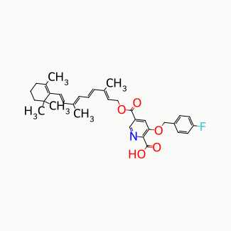 CC(C=CC1=C(C)CCCC1(C)C)=CC=CC(C)=CCOC(=O)c1cnc(C(=O)O)c(OCc2ccc(F)cc2)c1